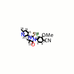 COc1c(C#N)ccc(N2C(=O)C(C)(C)N(c3ccc(C)nc3)C2=S)c1F